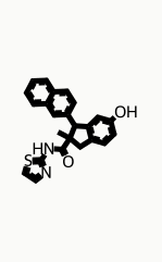 CC1(C(=O)Nc2nccs2)Cc2ccc(O)cc2C1c1ccc2ccccc2c1